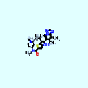 Cc1c(-c2[nH]c3cc(C(=O)N(C)C4CCN(C)CC4)sc3c2C(C)C)cn2ncnc2c1C